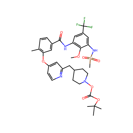 COc1c(NC(=O)c2ccc(C)c(Oc3ccnc(CC4CCN(OC(=O)OC(C)(C)C)CC4)c3)c2)cc(C(F)(F)F)cc1NS(C)(=O)=O